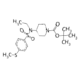 CCN(C1CCN(C(=O)OC(C)(C)C)CC1)S(=O)(=O)c1ccc(SC)cc1